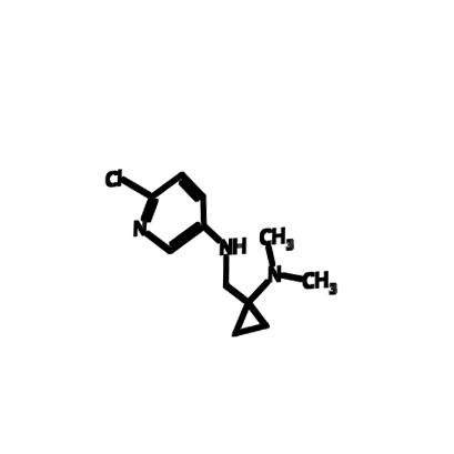 CN(C)C1(CNc2ccc(Cl)nc2)CC1